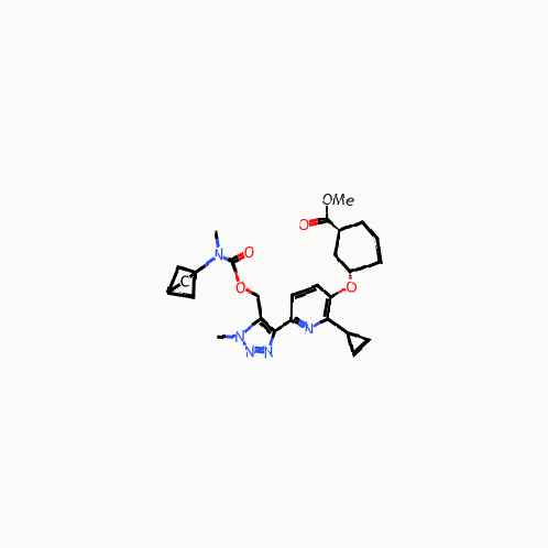 COC(=O)[C@H]1CCC[C@H](Oc2ccc(-c3nnn(C)c3COC(=O)N(C)C34CC(C3)C4)nc2C2CC2)C1